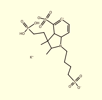 CC1N(CCCCS(=O)(=O)[O-])C2C=C[C+]=C(S(=O)(=O)[O-])C2C1(C)CCP(=O)(O)O.[K+]